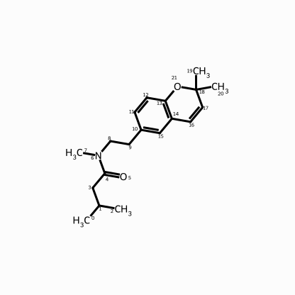 CC(C)CC(=O)N(C)CCc1ccc2c(c1)C=CC(C)(C)O2